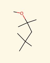 COC(C)(C)CC(C)(C)C